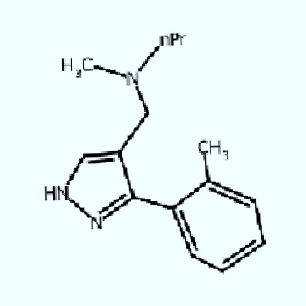 CCCN(C)Cc1c[nH]nc1-c1ccccc1C